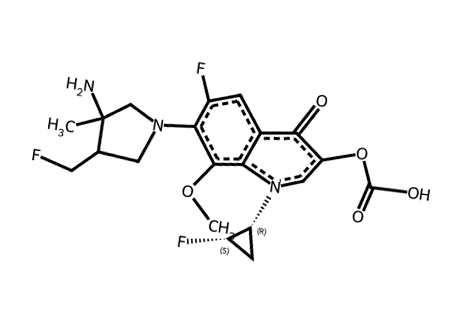 COc1c(N2CC(CF)C(C)(N)C2)c(F)cc2c(=O)c(OC(=O)O)cn([C@@H]3C[C@@H]3F)c12